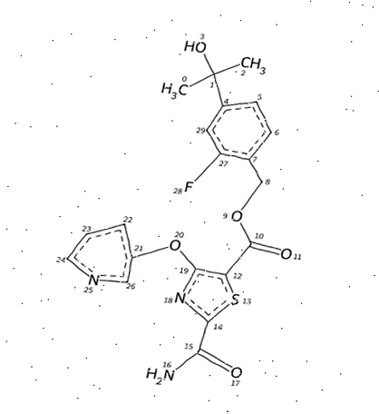 CC(C)(O)c1ccc(COC(=O)c2sc(C(N)=O)nc2Oc2cccnc2)c(F)c1